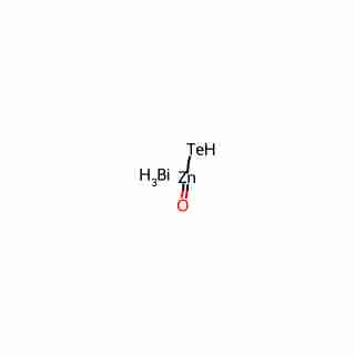 [BiH3].[O]=[Zn][TeH]